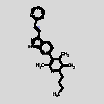 C=C1C(CCCC)=NC(C)=C(c2ccc3c(/C=C/c4ccccn4)n[nH]c3c2)C1C